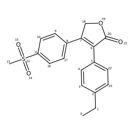 CCc1ccc(C2=C(c3ccc(S(C)(=O)=O)cc3)COC2=O)cc1